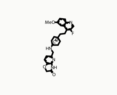 COc1ccc2ncc(F)c(CCC34CCC(NCc5ccc6c(n5)NC(=O)CO6)(CC3)CO4)c2c1